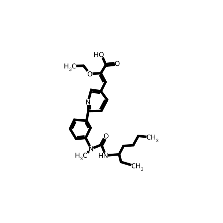 CCCCC(CC)NC(=O)N(C)c1cccc(-c2ccc(/C=C(\OCC)C(=O)O)cn2)c1